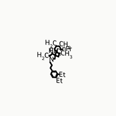 C=C(CC1CCC12CN(CCCc1ccc(CC)c(CC)c1)C(=C)C2C)C(=C)C(C)(C)CCC